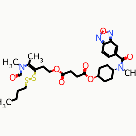 CCCCSS/C(CCOC(=O)CCC(=O)O[C@H]1CC[C@H](N(C)C(=O)c2ccc3nonc3c2)CC1)=C(/C)N(C)C=O